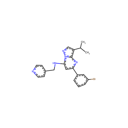 CC(C)c1cnn2c(NCc3ccncc3)cc(-c3cccc(Br)c3)nc12